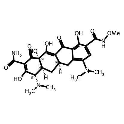 CONC(=O)c1cc(N(C)C)c2c(c1O)C(=O)C1=C(O)[C@]3(O)C(=O)C(C(N)=O)=C(O)[C@@H](N(C)C)[C@@H]3C[C@@H]1C2